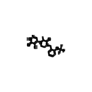 CC1C(=O)N(Cc2ccccc2OC(F)(F)F)CCN1c1cn[nH]c(=O)c1Cl